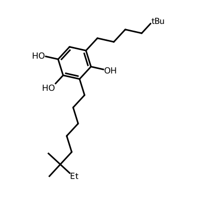 CCC(C)(C)CCCCCc1c(O)c(O)cc(CCCCC(C)(C)C)c1O